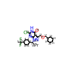 CC(C)C(c1ccc(C(C)(F)F)cc1)n1nc(COCc2ccccc2)c2c(=O)[nH]c(Cl)nc21